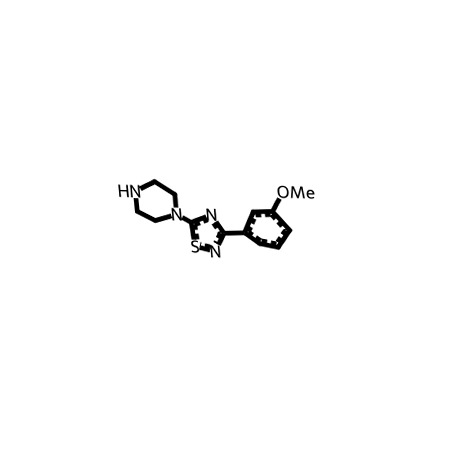 COc1cccc(-c2nsc(N3CCNCC3)n2)c1